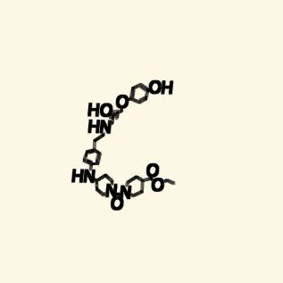 CCOC(=O)C1CCN(C(=O)N2CCC(Nc3ccc(CCNC[C@H](O)COc4ccc(O)cc4)cc3)CC2)CC1